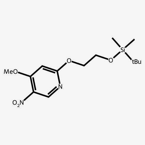 COc1cc(OCCO[Si](C)(C)C(C)(C)C)ncc1[N+](=O)[O-]